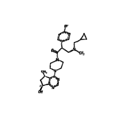 CC1C[C@H](O)c2ncnc(N3CCN(C(=O)C(CN(C)CC4CC4)c4ccc(Br)cc4)CC3)c21